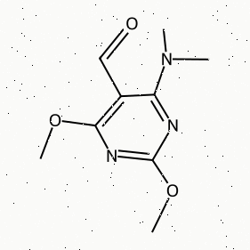 COc1nc(OC)c(C=O)c(N(C)C)n1